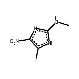 CBc1nc([N+](=O)[O-])c(I)[nH]1